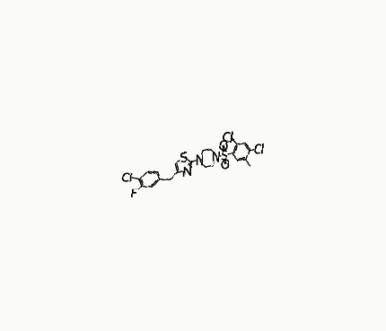 Cc1cc(S(=O)(=O)N2CCN(c3nc(Cc4ccc(Cl)c(F)c4)cs3)CC2)c(Cl)cc1Cl